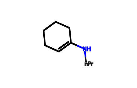 CCCNC1=CCCCC1